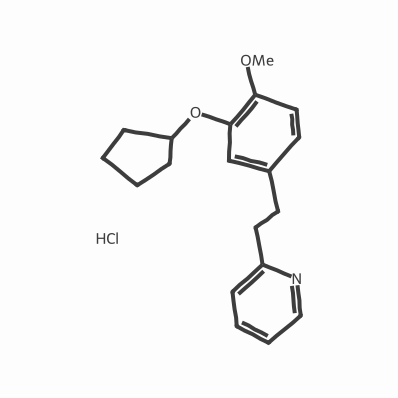 COc1ccc(CCc2ccccn2)cc1OC1CCCC1.Cl